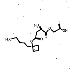 C=C(CC(=O)OC1(CCCCC)CCC1)C(=O)OCC(=O)O